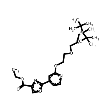 CCOC(=O)c1coc(-c2ccnc(OCCOCCC[Si](C)(C(C)(C)C)C(C)(C)C)c2)n1